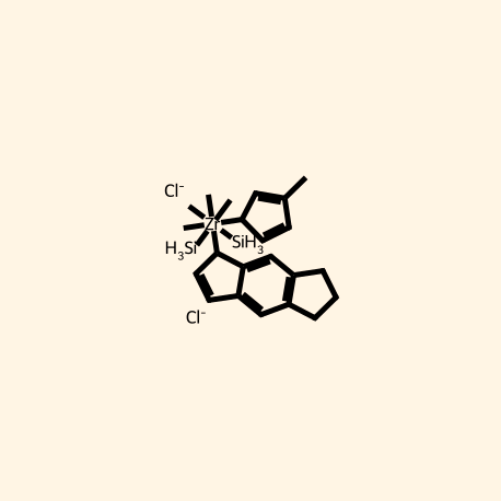 CC1=C[CH]([Zr]([CH3])([CH3])([CH3])([CH3])([SiH3])([SiH3])[CH]2C=Cc3cc4c(cc32)CCC4)C=C1.[Cl-].[Cl-]